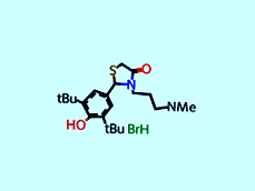 Br.CNCCCN1C(=O)CSC1c1cc(C(C)(C)C)c(O)c(C(C)(C)C)c1